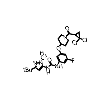 Cn1nc(C(C)(C)C)cc1NC(=O)Nc1cc(F)cc(OC2CCN(C(=O)C3CC3(Cl)Cl)CC2)c1